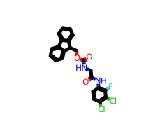 O=C(CNC(=O)OCC1c2ccccc2-c2ccccc21)Nc1ccc(Cl)c(Cl)c1F